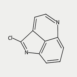 ClC1=Nc2cccc3nccc1c23